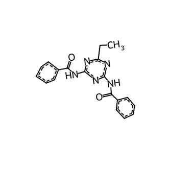 CCc1nc(NC(=O)c2ccccc2)nc(NC(=O)c2ccccc2)n1